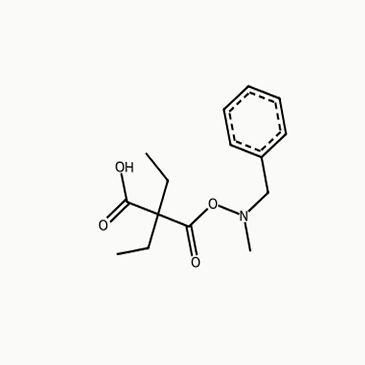 CCC(CC)(C(=O)O)C(=O)ON(C)Cc1ccccc1